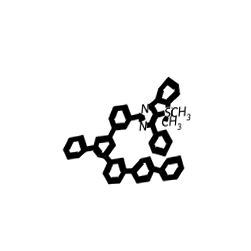 C[Si]1(C)c2ccccc2-c2nc(-c3cccc(-c4cc(-c5ccccc5)cc(-c5cccc(-c6ccc(-c7ccccc7)cc6)c5)c4)c3)nc(-c3ccccc3)c21